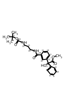 COC(=O)C(O)(c1ccccc1)c1cccc(C(=O)NCCCNC(=O)OC(C)(C)C)c1